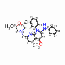 C[C@@H]1CN(Cc2cc(C(F)(F)F)c3c(=O)cc(Nc4ccccc4)n(-c4ccccc4)c3n2)C[C@H](C)O1